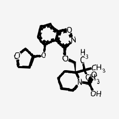 CC(C)(C)[C@@]1(COc2noc3cccc(OC4CCOC4)c23)CCCCN1C(=O)O